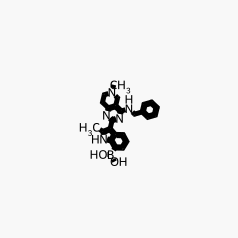 Cc1[nH]c2c(B(O)O)cccc2c1-c1nc2c(c(NCc3ccccc3)n1)CN(C)CC2